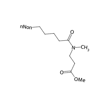 CCCCCCCCCCCCCC(=O)N(C)CCC(=O)OC